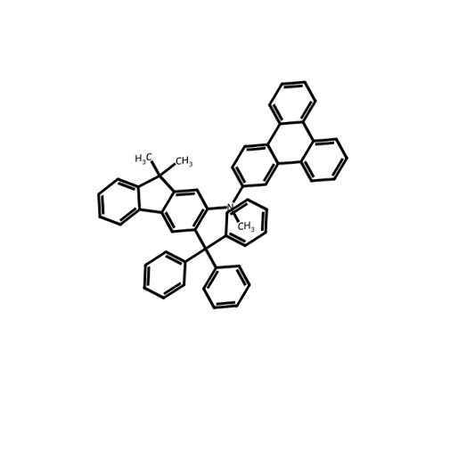 CN(c1ccc2c3ccccc3c3ccccc3c2c1)c1cc2c(cc1C(c1ccccc1)(c1ccccc1)c1ccccc1)-c1ccccc1C2(C)C